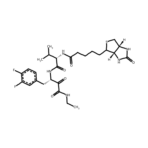 CCNC(=O)C(=O)[C@H](Cc1ccc(F)c(F)c1)NC(=O)[C@@H](NC(=O)CCCCC1SC[C@@H]2NC(=O)N[C@H]12)C(C)C